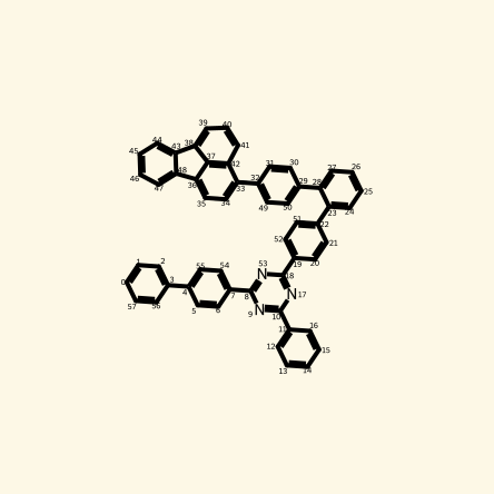 c1ccc(-c2ccc(-c3nc(-c4ccccc4)nc(-c4ccc(-c5ccccc5-c5ccc(-c6ccc7c8c(cccc68)-c6ccccc6-7)cc5)cc4)n3)cc2)cc1